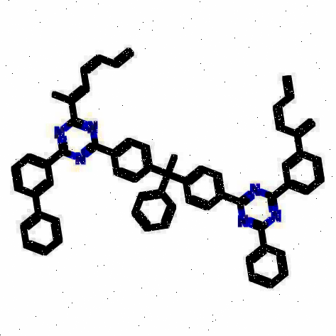 C=C/C=C\C=C(/C)c1nc(-c2ccc(C(C)(c3ccccc3)c3ccc(-c4nc(-c5ccccc5)nc(-c5cccc(C(=C)/C=C\C=C)c5)n4)cc3)cc2)nc(-c2cccc(-c3ccccc3)c2)n1